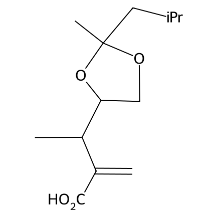 C=C(C(=O)O)C(C)C1COC(C)(CC(C)C)O1